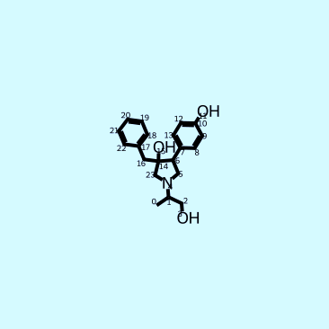 CC(CO)N1CC(c2ccc(O)cc2)C(O)(Cc2ccccc2)C1